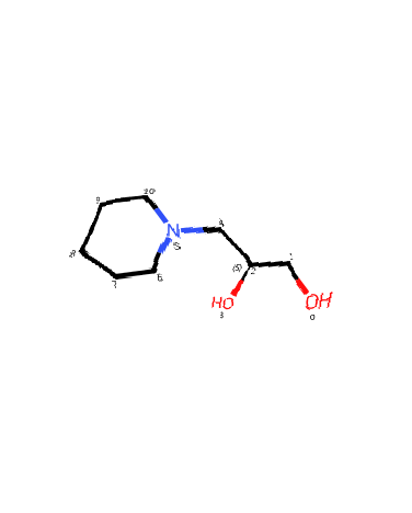 OC[C@@H](O)CN1CCCCC1